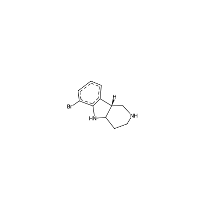 Brc1cccc2c1NC1CCNC[C@@H]21